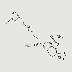 CC1(C)CCc2cc(C(=O)CCCCNCCc3cccc(Cl)c3)cc(S(N)(=O)=O)c2O1.Cl